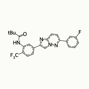 CC(C)(C)C(=O)Nc1cc(-c2cn3nc(-c4cccc(F)c4)ccc3n2)ccc1C(F)(F)F